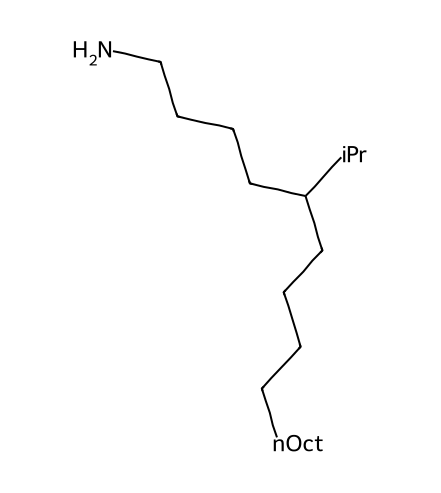 CCCCCCCCCCCCC(CCCCN)C(C)C